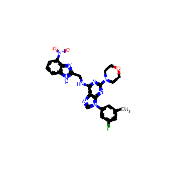 Cc1cc(F)cc(-n2cnc3c(NCc4nc5c([N+](=O)[O-])cccc5[nH]4)nc(N4CCOCC4)nc32)c1